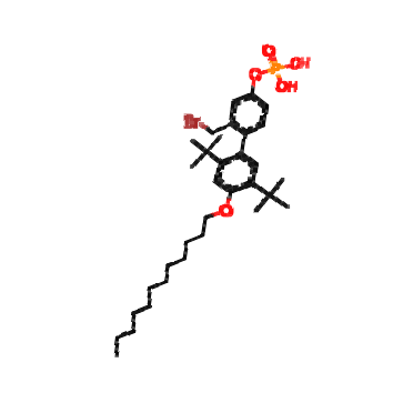 CCCCCCCCCCCCOc1cc(C(C)(C)C)c(-c2ccc(OP(=O)(O)O)cc2CBr)cc1C(C)(C)C